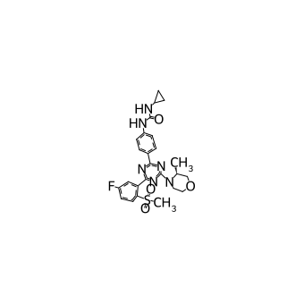 C[C@H]1COCCN1c1nc(-c2ccc(NC(=O)NC3CC3)cc2)nc(-c2cc(F)ccc2S(C)(=O)=O)n1